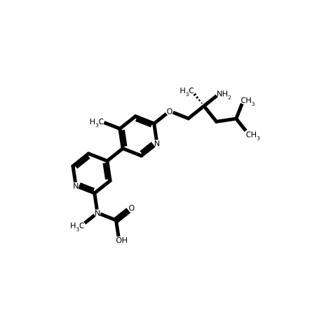 Cc1cc(OC[C@@](C)(N)CC(C)C)ncc1-c1ccnc(N(C)C(=O)O)c1